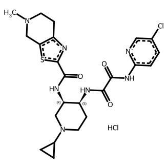 CN1CCc2nc(C(=O)N[C@@H]3CN(C4CC4)CC[C@@H]3NC(=O)C(=O)Nc3ccc(Cl)cn3)sc2C1.Cl